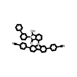 N#Cc1ccc(-c2ccc3c4ccc(-c5ccc(C#N)cc5)cc4n(-c4cccc5c4C(=O)N(c4cccc(-c6ccccc6)c4)C5O)c3c2)cc1